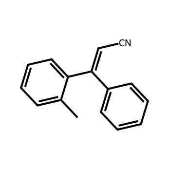 Cc1ccccc1C(=CC#N)c1ccccc1